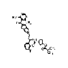 Cc1ncnc(C)c1C(=O)N1CC2CN(CCC(NC(=O)C3CCC(OC(=O)C(C)C)C3)c3cccc(F)c3)CC2C1